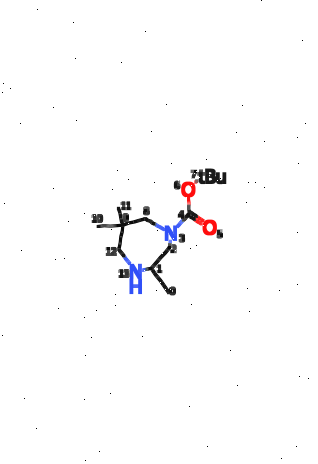 CC1CN(C(=O)OC(C)(C)C)CC(C)(C)CN1